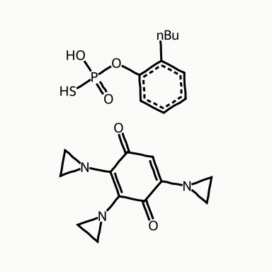 CCCCc1ccccc1OP(=O)(O)S.O=C1C=C(N2CC2)C(=O)C(N2CC2)=C1N1CC1